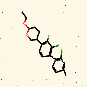 CCOC1CCC(c2ccc(-c3ccc(C)cc3F)c(F)c2F)CO1